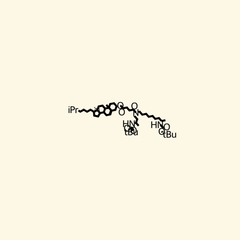 CC(C)CCCCC1CCC2C3CC=C4CC(OC(=O)CCC(=O)N(CCCCCCCC(C)NC(=O)OC(C)(C)C)CCC(C)NC(=O)OC(C)(C)C)CCC4(C)C3CC[C@]12C